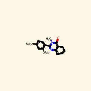 COc1ccc(-c2nc3ccccc3c(=O)n2C)c(OC)c1